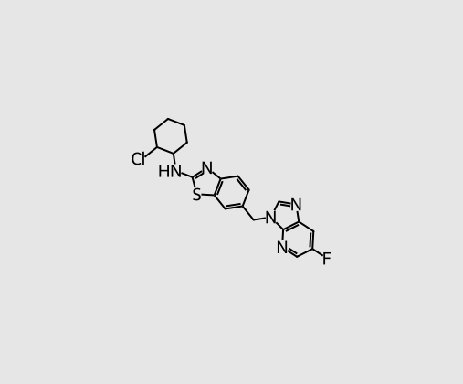 Fc1cnc2c(c1)ncn2Cc1ccc2nc(NC3CCCCC3Cl)sc2c1